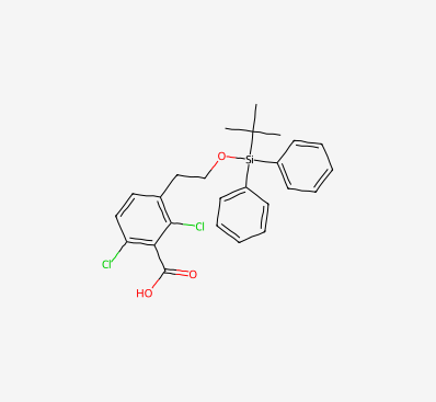 CC(C)(C)[Si](OCCc1ccc(Cl)c(C(=O)O)c1Cl)(c1ccccc1)c1ccccc1